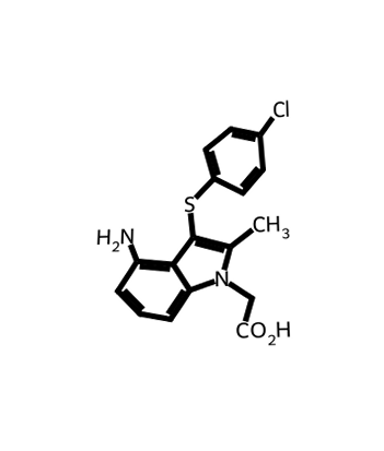 Cc1c(Sc2ccc(Cl)cc2)c2c(N)cccc2n1CC(=O)O